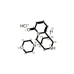 Cl.O=c1cccc2n1C[C@]1(N3CCOCC3)CNC[C@H]2C1